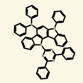 c1ccc(B(c2ccccc2)c2cc3c(c4ccccc4n3-c3ccccc3)c3c2c2ccccc2n3-c2nc(-c3ccccc3)nc(-c3ccccc3)n2)cc1